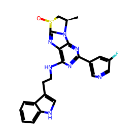 C[C@@H]1C[S+]([O-])c2nc3c(NCCc4c[nH]c5ccccc45)nc(-c4cncc(F)c4)nc3n21